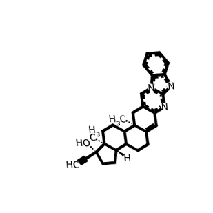 C#C[C@]1(O)CC[C@H]2C3CCC4=Cc5nc6nc7ccccc7n6cc5C[C@]4(C)C3CC[C@@]21C